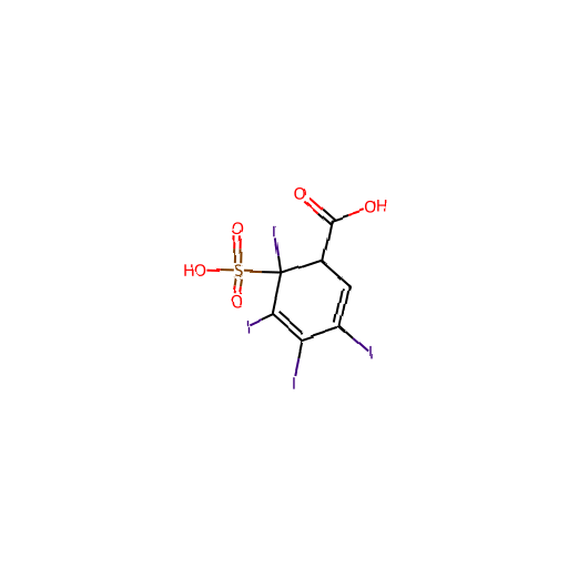 O=C(O)C1C=C(I)C(I)=C(I)C1(I)S(=O)(=O)O